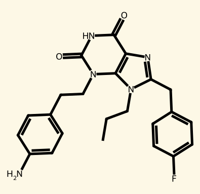 CCCn1c(Cc2ccc(F)cc2)nc2c(=O)[nH]c(=O)n(CCc3ccc(N)cc3)c21